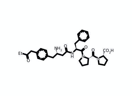 CCC(=O)Cc1ccc(C[C@H](N)CC(=O)N[C@@H](Cc2ccccc2)C(=O)N2CCC[C@H]2C(=O)N2CCC[C@H]2C(=O)O)cc1